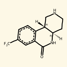 O=C1N[C@@H]2CCNC[C@H]2c2ccc(C(F)(F)F)cc21